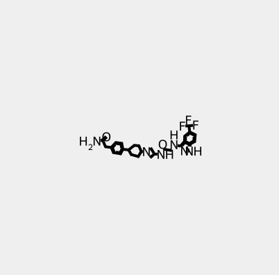 NC(=O)Cc1ccc(C2CCC(N3CC(NC(=O)CNc4n[nH]c5ccc(C(F)(F)F)cc45)C3)CC2)cc1